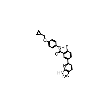 O=C(Nc1ccc(OCC2CC2)cc1)c1cc(-c2ccc3nn[nH]c3n2)ccc1F